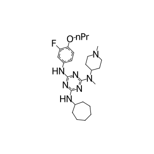 CCCOc1ccc(Nc2nc(NC3CCCCCC3)nc(N(C)C3CCN(C)CC3)n2)cc1F